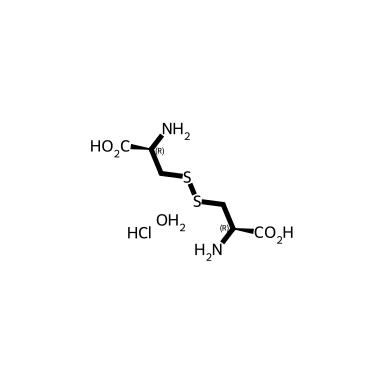 Cl.N[C@@H](CSSC[C@H](N)C(=O)O)C(=O)O.O